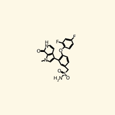 Cn1cc(-c2cc(CS(N)(=O)=O)ccc2Oc2ccc(F)cc2F)c2cc[nH]c(=O)c21